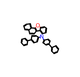 c1ccc(-c2ccc(N(c3ccc(-c4ccccc4)cc3)c3cccc4oc5c6ccccc6ccc5c34)cc2)cc1